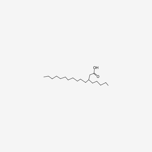 CCCCCCCCCCCC(CCCCC)CC(=O)O